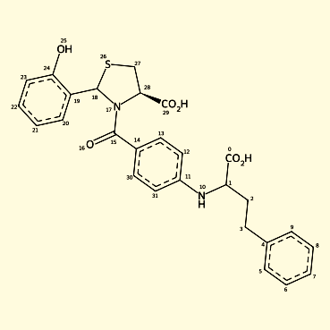 O=C(O)C(CCc1ccccc1)Nc1ccc(C(=O)N2C(c3ccccc3O)SC[C@H]2C(=O)O)cc1